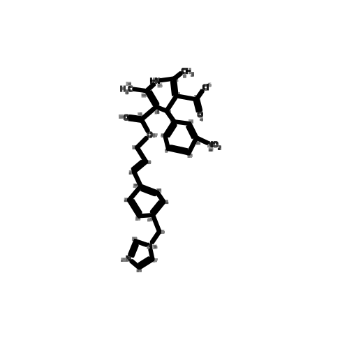 CC1=C(C(=O)Cl)C(c2cccc([N+](=O)[O-])c2)C(C(=O)OCC=Cc2ccc(Cn3ccnc3)cc2)=C(C)N1